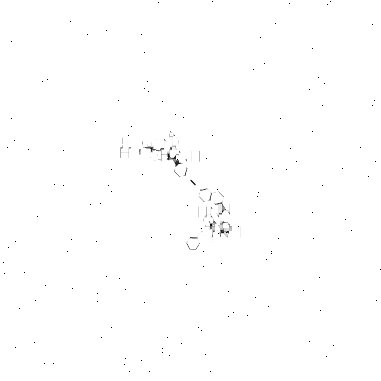 CC(C)(C)OC(=O)N1C2CC2C[C@H]1c1nc2ccc(C#Cc3ccc4c(ccc5nc([C@@H]6C[C@H]7C[C@H]7N6C(=O)OCc6ccccc6)[nH]c54)c3)cc2[nH]1